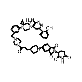 Nc1nnc(-c2ccccc2O)cc1N1CCN(c2cccc(CN3CCN(C(=O)CCC4CCN(c5ccc6c(c5)C(=O)N(C5CCC(=O)NC5=O)C6=O)CC4)CC3)c2)C2(CC2)C1